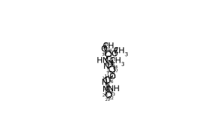 COc1cc(Nc2nc3cc(Oc4ccnc(-c5nc6ccccc6[nH]5)c4)ccc3n2C)cc(OC)c1